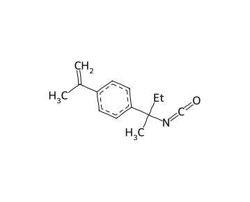 C=C(C)c1ccc(C(C)(CC)N=C=O)cc1